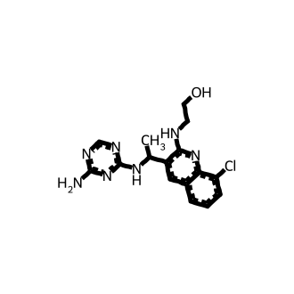 CC(Nc1ncnc(N)n1)c1cc2cccc(Cl)c2nc1NCCO